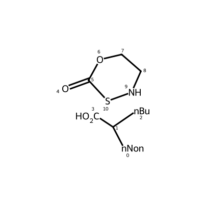 CCCCCCCCCC(CCCC)C(=O)O.O=C1OCCNS1